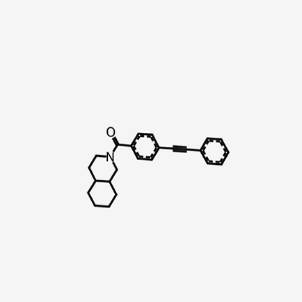 O=C(c1ccc(C#Cc2ccccc2)cc1)N1CCC2CCCCC2C1